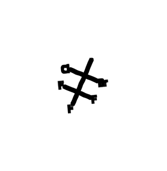 CC(Cl)(Br)C(F)(F)F